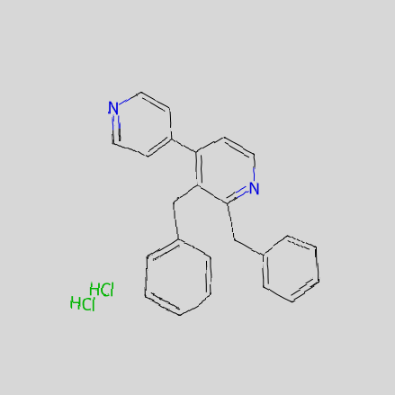 Cl.Cl.c1ccc(Cc2nccc(-c3ccncc3)c2Cc2ccccc2)cc1